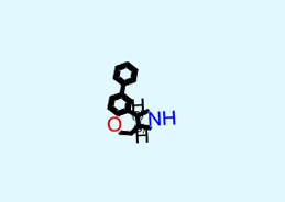 c1ccc(-c2ccc3c(c2)[C@@H]2CNC[C@H]2CCO3)cc1